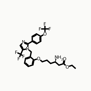 CCOC(=O)C[C@H](N)CCCOc1ccccc1Cn1c(C(F)(F)F)cnc1-c1ccc(OC(F)(F)F)cc1